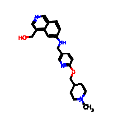 CN1CCC(COc2ccc(CNc3ccc4cncc(CO)c4c3)cn2)CC1